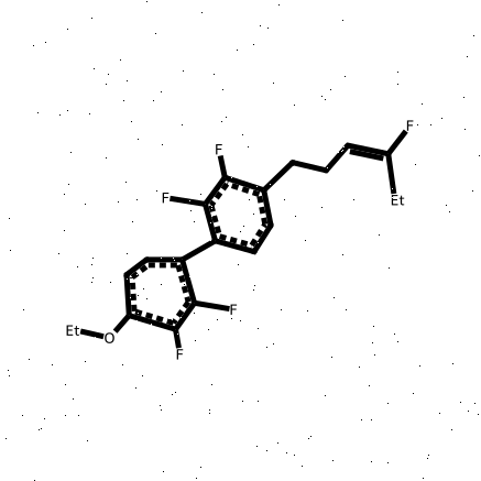 CCOc1ccc(-c2ccc(CC/C=C(/F)CC)c(F)c2F)c(F)c1F